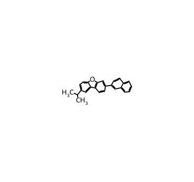 CC(C)c1ccc2oc3cc(-c4ccc5ccccc5c4)ccc3c2c1